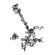 CC(C)(C)[C@H](c1cc(-c2cc(F)ccc2F)cn1Cc1ccccc1)N(CCCNC(=O)OCC[Si](C)(C)C)C(=O)CSC[C@H](NC(=O)CCOCCOCCOCCOCCNC(=O)CCN1C(=O)C=CC1=O)C(=O)NCCC(=O)O.O=C(O)C(F)(F)F